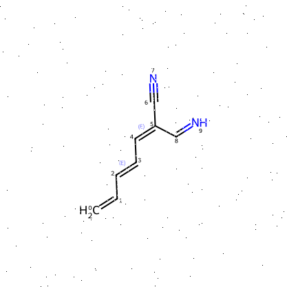 C=C/C=C/C=C(/C#N)C=N